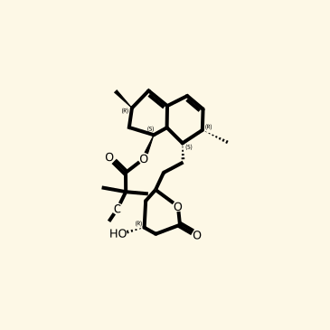 CCC(C)(C)C(=O)O[C@H]1C[C@@H](C)C=C2C=C[C@H](C)[C@H](CCC3C[C@@H](O)CC(=O)O3)C21